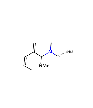 C=C(/C=C\C)C(NC)N(C)C[C@@H](C)CC